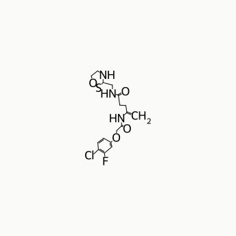 C=C(CCC(=O)NCC1NCCOS1)NC(=O)COc1ccc(Cl)c(F)c1